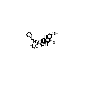 CC(=NOCCN1CCCCC1)C1=CC[C@H]2[C@@H]3CC=C4CC(O)CC[C@]4(C)[C@H]3CC[C@]12C